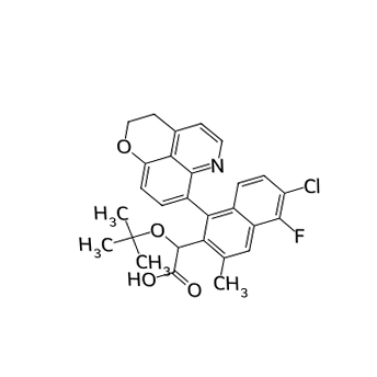 Cc1cc2c(F)c(Cl)ccc2c(-c2ccc3c4c(ccnc24)CCO3)c1C(OC(C)(C)C)C(=O)O